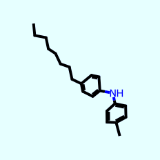 CCCCCCCCc1ccc(Nc2ccc(C)cc2)cc1